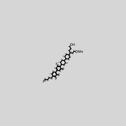 COCCC(CCCO)C1CCC(C2CCC(c3c(F)cc(-c4ccc(CCCCF)c(F)c4F)cc3F)CC2)CC1